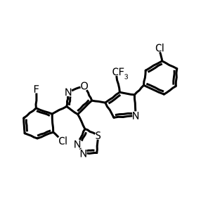 Fc1cccc(Cl)c1-c1noc(C2=C(C(F)(F)F)C(c3cccc(Cl)c3)N=C2)c1-c1nncs1